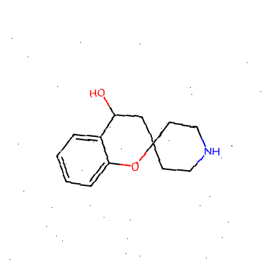 OC1CC2(CCNCC2)Oc2ccccc21